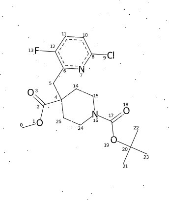 COC(=O)C1(Cc2nc(Cl)ccc2F)CCN(C(=O)OC(C)(C)C)CC1